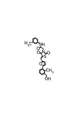 Cc1cccc(NC(=O)CN2C(=O)S/C(=C\c3ccc(-c4cccc(CO)c4C)o3)C2=O)c1